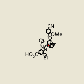 CCOc1cc(C(=O)O)cc2c1nc(CN1CCC3(c4nccc(OCc5ccc(C#N)cc5OC)n4)CC3C1)n2C[C@@H]1CCO1